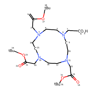 C=C(CN1CCN(CC(=O)O)CCN(CC(=O)OC(C)(C)C)CCN(CC(=O)OC(C)(C)C)CC1)OC(C)(C)C